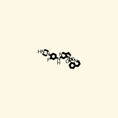 O=S(=O)(c1cccc2cccnc12)n1ccc2cnc(Nc3ccc(N4CCNCC4)c(F)c3)cc21